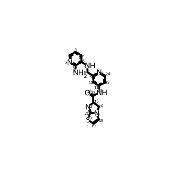 Nc1ncccc1NCc1cc(NC(=O)C2CN3C=CSC3=N2)ccn1